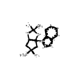 CC1(C)OC2CC(C)(C(=O)O)CC2(n2nnc3ccccc32)O1